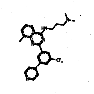 Cc1cccc2c(NCCCN(C)C)nc(-c3cc(-c4ccncc4)cc(C(F)(F)F)c3)nc12